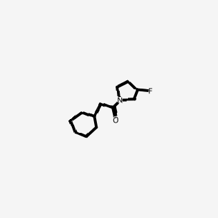 O=C(CC1CCCCC1)N1CCC(F)C1